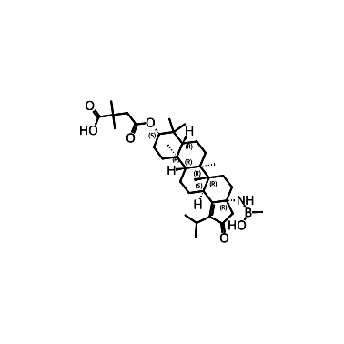 CB(O)N[C@@]12CC[C@]3(C)[C@H](CC[C@@H]4[C@@]5(C)CC[C@H](OC(=O)CC(C)(C)C(=O)O)C(C)(C)[C@@H]5CC[C@]43C)C1=C(C(C)C)C(=O)C2